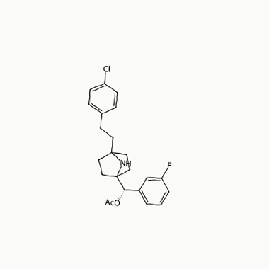 CC(=O)O[C@@H](c1cccc(F)c1)C12CCC(CCc3ccc(Cl)cc3)(CC1)N2